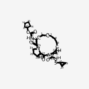 O=C(N[C@H]1CCCCCCC[C@@H]2C[C@@]2(C(=O)NSC2CC2)NC(=O)[C@@H]2CCCN2C1=O)OC1CCCC1